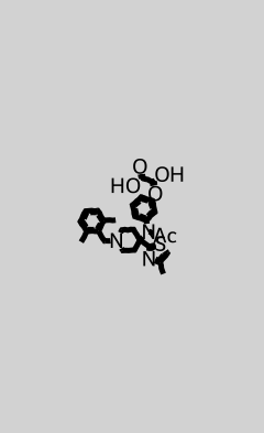 CC(=O)N(c1ccccc1)C1(c2nc(C)cs2)CCN(Cc2c(C)cccc2C)CC1.O=C(O)C(=O)O